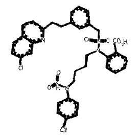 O=C(O)c1ccccc1N(CCCCN(c1ccc(Cl)cc1)[SH](=O)=O)S(=O)(=O)Cc1cccc(CCc2ccc3ccc(Cl)cc3n2)c1